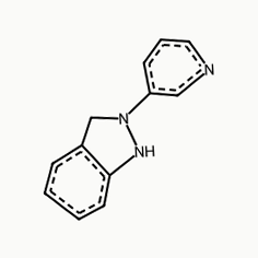 c1cncc(N2Cc3ccccc3N2)c1